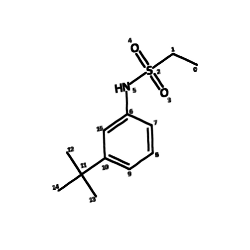 CCS(=O)(=O)Nc1cccc(C(C)(C)C)c1